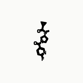 CN(C(=O)C1CC1)[C@H]1CCN(C(=O)c2ccc(F)nc2)C1